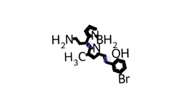 Bn1cccc1/C(CCN)=C1N=C(/C=C/c2cc(Br)ccc2O)C=C\1C